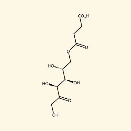 O=C(O)CCC(=O)OC[C@@H](O)[C@@H](O)[C@H](O)C(=O)CO